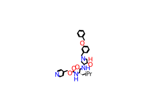 CC(C)C[C@H](NC(=O)OCc1ccncc1)C(=O)NC1CN(Cc2cccc(OCc3ccccc3)c2)CC1O